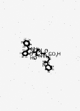 O=C(N[C@@H](CC1=CN=C2C=CC=CC12)C(=O)O)c1ncc(C(=O)NC(c2ccccc2)c2ccccc2)c(O)n1